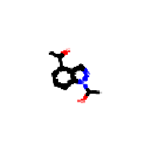 [CH2]C(O)n1ncc2c(C(C)=O)cccc21